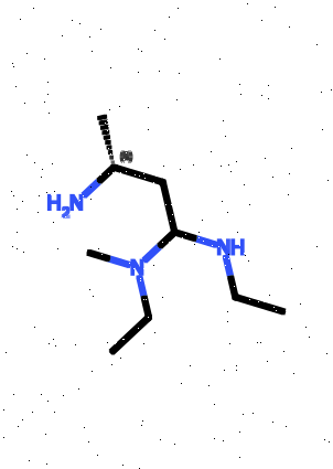 CCNC(C[C@@H](C)N)N(C)CC